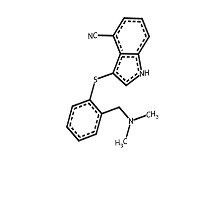 CN(C)Cc1ccccc1Sc1c[nH]c2cccc(C#N)c12